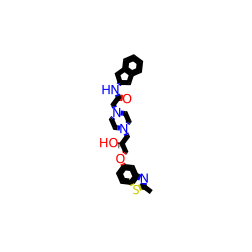 Cc1nc2cc(OC[C@H](O)CN3CCN(CC(=O)NC4Cc5ccccc5C4)CC3)ccc2s1